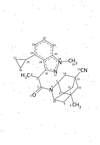 CC(C(=O)N1C2CC3(C)CC1CC(C#N)(C2)C3)c1nn(C)c2cccc(C3CC3)c12